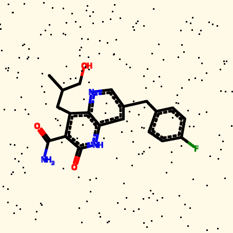 CC(CO)Cc1c(C(N)=O)c(=O)[nH]c2cc(Cc3ccc(F)cc3)cnc12